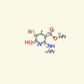 CCCNc1nc(O)c(Br)cc1C(=O)OCCC